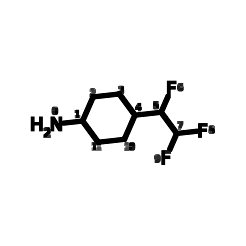 NC1CCC(C(F)C(F)F)CC1